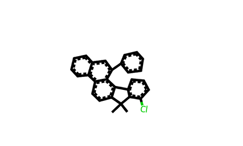 CC1(C)c2ccc3c(c(-c4ccccc4)cc4ccccc43)c2-c2cccc(Cl)c21